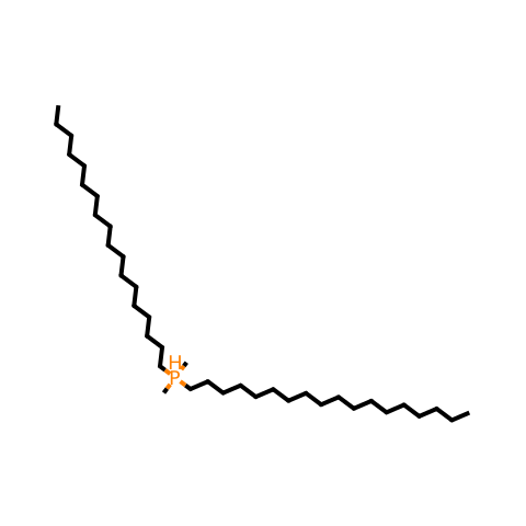 CCCCCCCCCCCCCCCCCC[PH](C)(C)CCCCCCCCCCCCCCCCCC